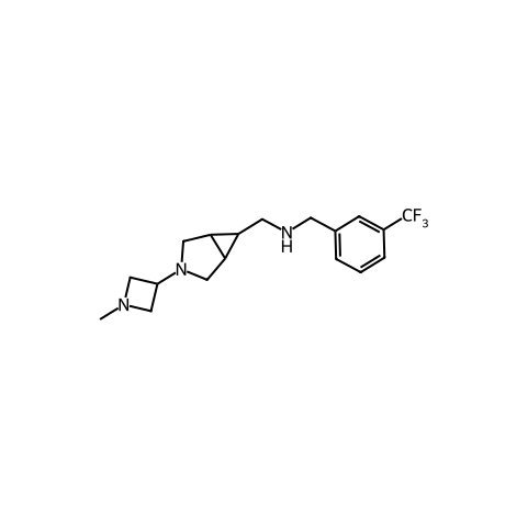 CN1CC(N2CC3C(CNCc4cccc(C(F)(F)F)c4)C3C2)C1